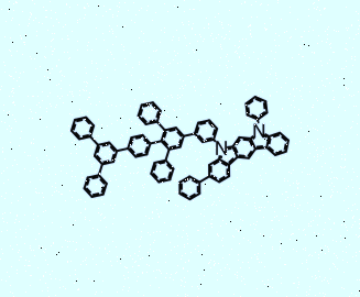 c1ccc(-c2cc(-c3ccccc3)cc(-c3ccc(-c4c(-c5ccccc5)cc(-c5cccc(-n6c7cc(-c8ccccc8)ccc7c7cc8c9ccccc9n(-c9ccccc9)c8cc76)c5)cc4-c4ccccc4)cc3)c2)cc1